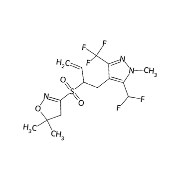 C=CC(Cc1c(C(F)(F)F)nn(C)c1C(F)F)S(=O)(=O)C1=NOC(C)(C)C1